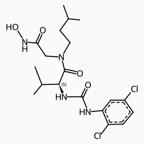 CC(C)CCN(CC(=O)NO)C(=O)[C@@H](NC(=O)Nc1cc(Cl)ccc1Cl)C(C)C